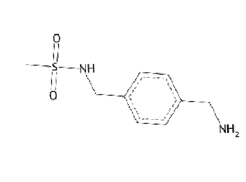 CS(=O)(=O)NCc1ccc(CN)cc1